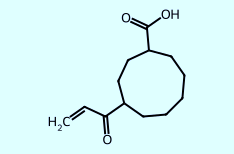 C=CC(=O)C1CCCCCC(C(=O)O)CC1